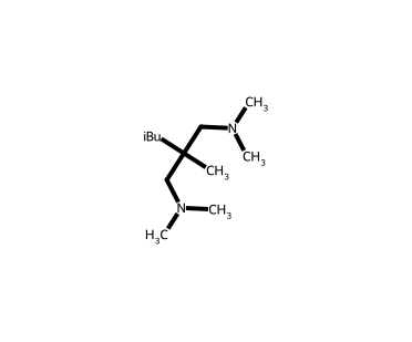 CCC(C)C(C)(CN(C)C)CN(C)C